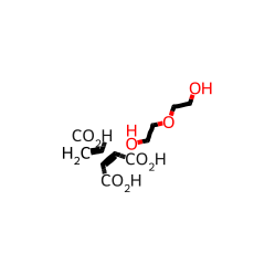 C=CC(=O)O.O=C(O)/C=C\C(=O)O.OCCOCCO